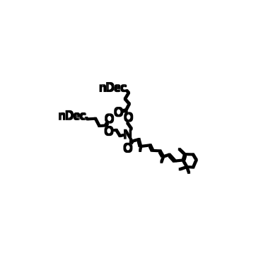 CCCCCCCCCCCCCC(=O)OCCN(CCOC(=O)CCCCCCCCCCCCC)C(=O)/C=C(C)/C=C/C=C(C)/C=C/C1=C(C)CCCC1(C)C